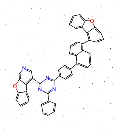 c1ccc(-c2nc(-c3ccc(-c4cccc5c(-c6cccc7oc8ccccc8c67)cccc45)cc3)nc(-c3cncc4oc5ccccc5c34)n2)cc1